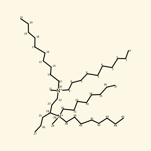 CCCCCCCCCC[N+](C)(CCCCCCCCCC)CC[C](CCC)[N+](C)(CCCCCCCC)CCCCCCCC